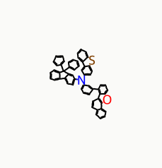 c1ccc(C2(c3ccccc3)c3ccccc3-c3ccc(N(c4cccc(-c5cccc6oc7c8ccccc8ccc7c56)c4)c4ccc5sc6ccccc6c5c4)cc32)cc1